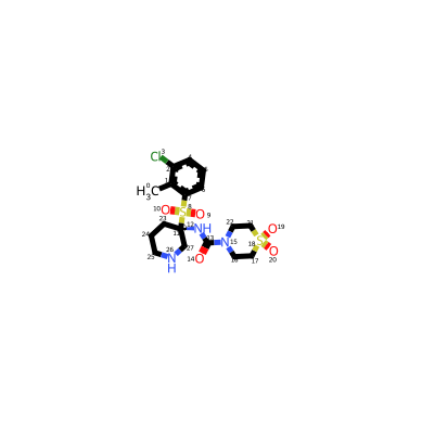 Cc1c(Cl)cccc1S(=O)(=O)[C@@]1(NC(=O)N2CCS(=O)(=O)CC2)CCCNC1